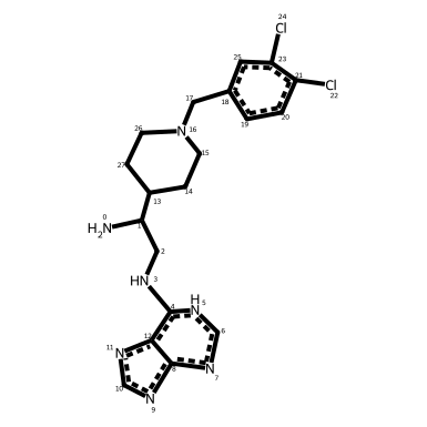 NC(CNc1[nH]cnc2ncnc1-2)C1CCN(Cc2ccc(Cl)c(Cl)c2)CC1